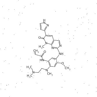 C=CC(=O)Nc1cc(Nc2ncc3cc(-c4cc[nH]n4)c(=O)n(C)c3n2)c(OC)cc1N(C)CCN(C)C